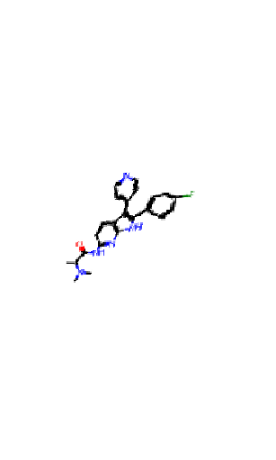 CC(C(=O)Nc1ccc2c(-c3ccncc3)c(-c3ccc(F)cc3)[nH]c2n1)N(C)C